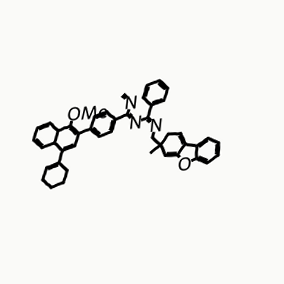 C=N/C(=N\C(=N/CC1(C)C=c2oc3ccccc3c2=CC1)c1ccccc1)c1ccc(C2=C(OC)C3C=CC=CC3C(C3=CCCCC3)=C2)cc1